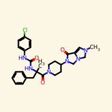 CN1C=C2C(=O)N(C3CCN(C(=O)C(C)(Cc4ccccc4)NC(=O)Nc4ccc(Cl)cc4)CC3)CN2C1